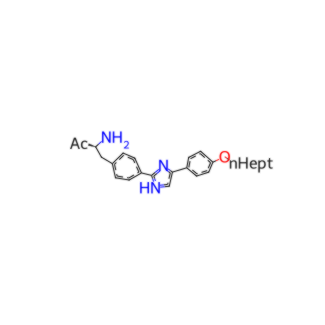 CCCCCCCOc1ccc(-c2c[nH]c(-c3ccc(C[C@H](N)C(C)=O)cc3)n2)cc1